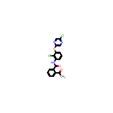 CC(=O)c1ccccc1C(=O)Nc1cccc(Sc2cnc(Cl)cn2)c1Cl